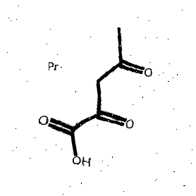 CC(=O)CC(=O)C(=O)O.[Pr]